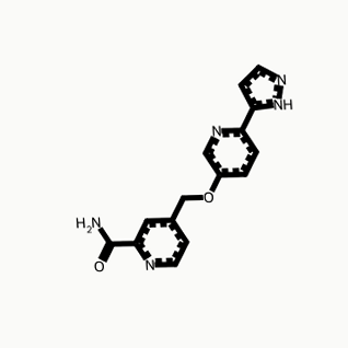 NC(=O)c1cc(COc2ccc(-c3ccn[nH]3)nc2)ccn1